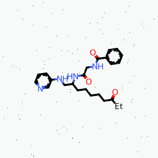 CCC(=O)CCCCCC(CNc1cccnc1)NC(=O)CNC(=O)c1ccccc1